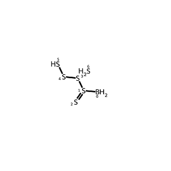 BS(=S)SSS.S